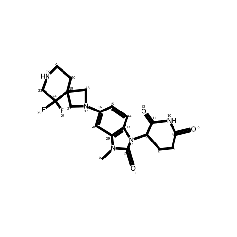 Cn1c(=O)n(C2CCC(=O)NC2=O)c2ccc(N3CC4(CCNCC4(F)F)C3)cc21